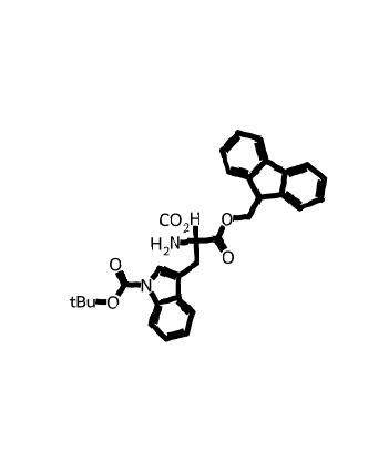 CC(C)(C)OC(=O)n1cc(CC(N)(C(=O)O)C(=O)OCC2c3ccccc3-c3ccccc32)c2ccccc21